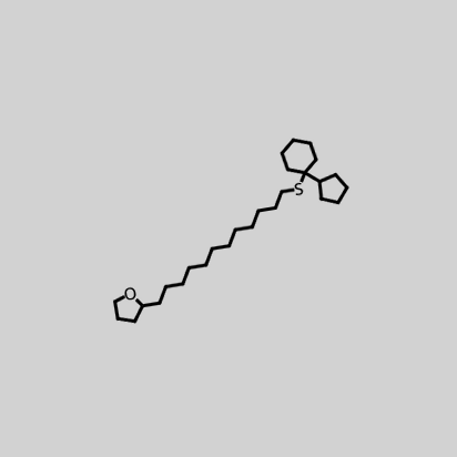 C(CCCCCCC1CCCO1)CCCCCSC1(C2CCCC2)CCCCC1